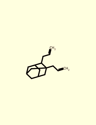 C=CCC1C2CC3CC(C2)CC1(CC=C)C3